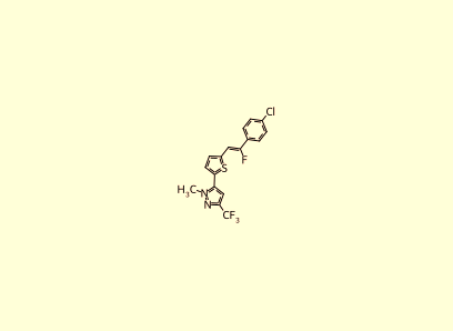 Cn1nc(C(F)(F)F)cc1-c1ccc(C=C(F)c2ccc(Cl)cc2)s1